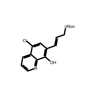 CCCCCCCCCC/C=C/c1cc(Cl)c2cccnc2c1O